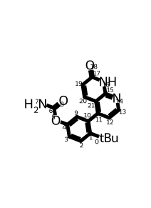 CC(C)(C)c1ccc(OC(N)=O)cc1-c1ccnc2[nH]c(=O)ccc12